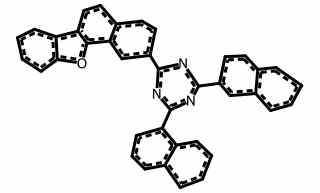 c1ccc2cc(-c3nc(-c4ccc5ccc6c7ccccc7oc6c5c4)nc(-c4cccc5ccccc45)n3)ccc2c1